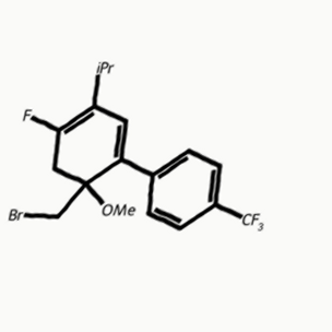 COC1(CBr)CC(F)=C(C(C)C)C=C1c1ccc(C(F)(F)F)cc1